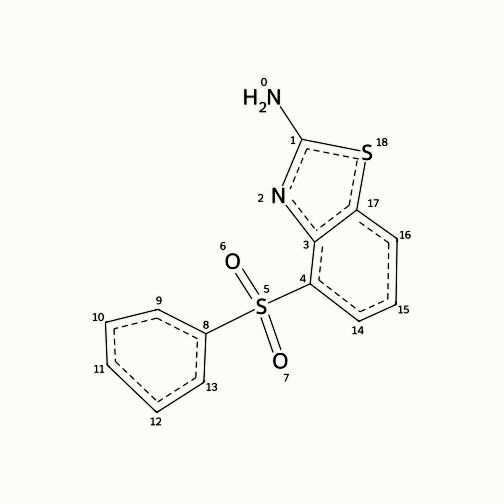 Nc1nc2c(S(=O)(=O)c3ccccc3)cccc2s1